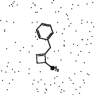 BC1CC=C1Cc1ccccc1